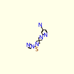 N#Cc1ccnc(N2CC3(CN(C(=S)n4ccnc4)C3)C2)c1